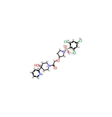 O=C(COC1CCN(S(=O)(=O)c2c(Cl)cc(Cl)cc2Cl)C1)N1CCC(O)(c2ccccn2)CC1